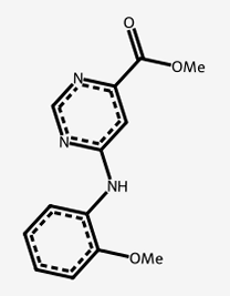 COC(=O)c1cc(Nc2ccccc2OC)ncn1